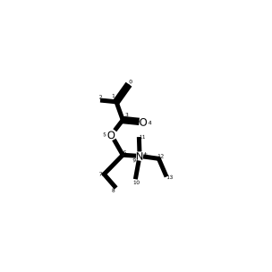 C=C(C)C(=O)OC(CC)[N+](C)(C)CC